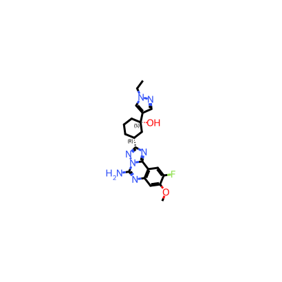 CCn1cc([C@]2(O)CCC[C@@H](c3nc4c5cc(F)c(OC)cc5nc(N)n4n3)C2)cn1